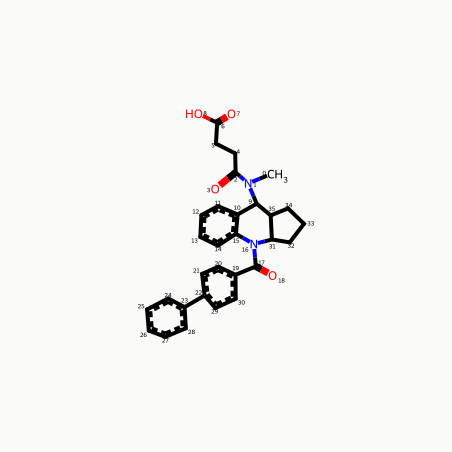 CN(C(=O)CCC(=O)O)C1c2ccccc2N(C(=O)c2ccc(-c3ccccc3)cc2)C2CCCC12